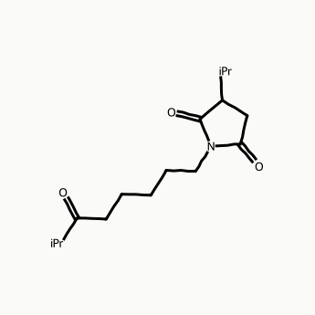 CC(C)C(=O)CCCCCN1C(=O)CC(C(C)C)C1=O